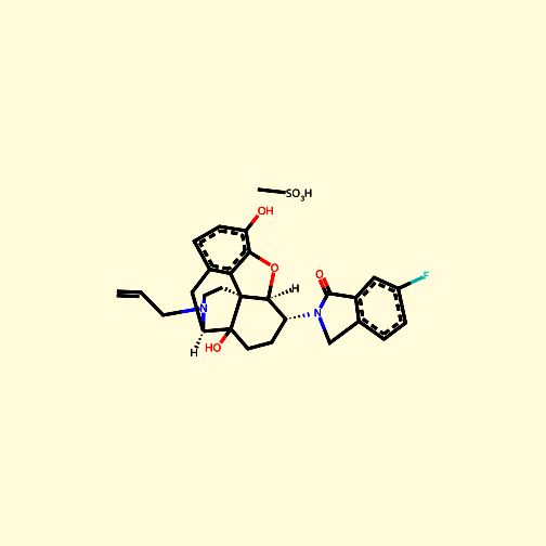 C=CCN1CC[C@]23c4c5ccc(O)c4O[C@H]2[C@H](N2Cc4ccc(F)cc4C2=O)CCC3(O)[C@H]1C5.CS(=O)(=O)O